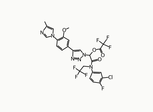 COc1cc(-c2cn(C(OC(=O)C(F)(F)F)C(=O)N(CC(F)(F)F)c3ccc(F)c(Cl)c3)nn2)ccc1-n1cnc(C)c1